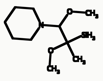 COC(N1CCCCC1)C(C)([SiH3])OC